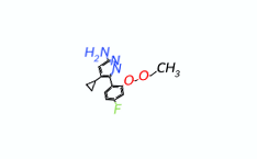 CCOCOc1cc(F)ccc1-c1nnc(N)cc1C1CC1